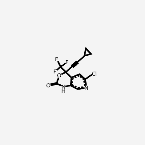 O=C1Nc2cnc(Cl)cc2C(C#CC2CC2)(C(F)(F)F)O1